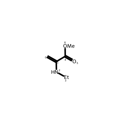 C=C(NCC)C(=O)OC